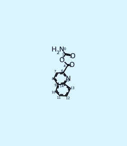 NC(=O)OC(=O)c1ccc2ccccc2n1